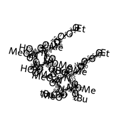 CCOCCOCCOc1ccc(CCC[C@@H](C(=O)OC)N2CCN([C@@H](CO)C(=O)OC)CCN([C@H](CO)C(=O)OC)CCN([C@@H](CO)C(=O)OC)CC2)cc1.CCOCCOCCOc1ccc(CCC[C@@H](C(=O)OC)N2CCN([C@@H](COC(C)(C)C)C(=O)OC)CCN([C@H](COC(C)(C)C)C(=O)OC)CCN([C@@H](COC(C)(C)C)C(=O)OC)CC2)cc1